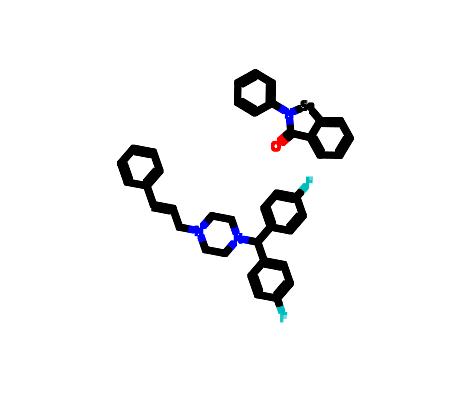 Fc1ccc(C(c2ccc(F)cc2)N2CCN(C/C=C/c3ccccc3)CC2)cc1.O=c1c2ccccc2[se]n1-c1ccccc1